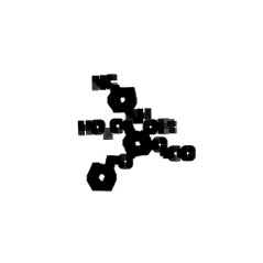 CCOc1c(OC=C=O)cc(OCc2ccccc2)cc1C(Nc1ccc(C#N)cc1)C(=O)O